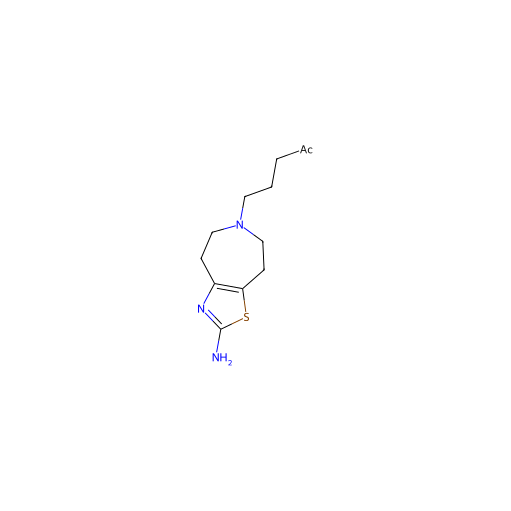 CC(=O)CCCN1CCc2nc(N)sc2CC1